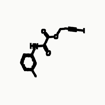 Cc1cccc(NC(=O)C(=O)OCC#CI)c1